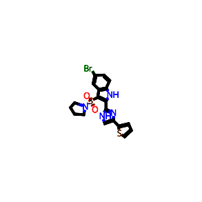 O=S(=O)(c1c(-c2nc(-c3cccs3)c[nH]2)[nH]c2ccc(Br)cc12)N1CCCC1